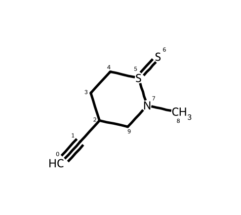 C#CC1CCS(=S)N(C)C1